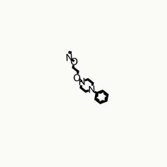 C=NOCCON1CCN(c2ccccc2)CC1